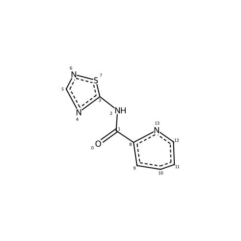 O=C(Nc1ncns1)c1ccccn1